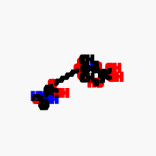 COc1cc(C2=NOC(c3cc(CO)c(CO)c(CO)c3)C2)cc(OC)c1OCCCCCCCCCOc1ccc(C2NC(=O)c3ccccc3N2)cc1CO